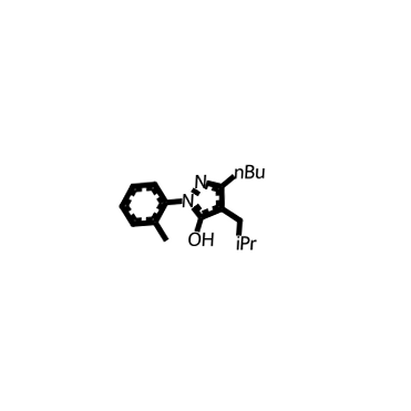 CCCCc1nn(-c2ccccc2C)c(O)c1CC(C)C